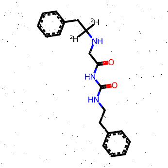 [2H]C([2H])(Cc1ccccc1)NCC(=O)NC(=O)NCCc1ccccc1